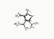 CC(C)c1nn(C)c(N)c1C(C)C